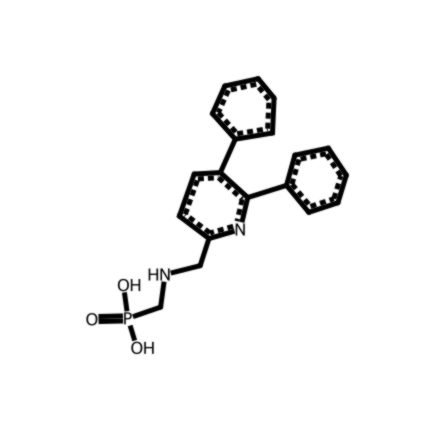 O=P(O)(O)CNCc1ccc(-c2ccccc2)c(-c2ccccc2)n1